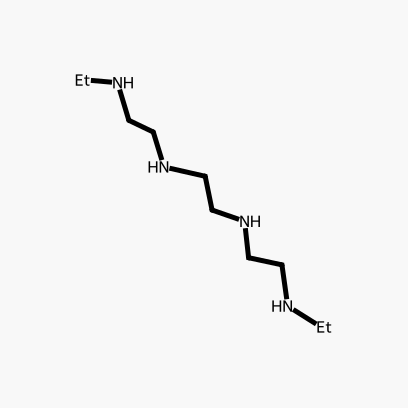 CCNCCNCCNCCNCC